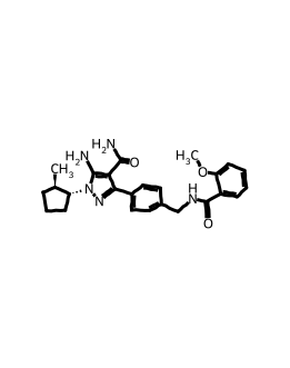 COc1ccccc1C(=O)NCc1ccc(-c2nn([C@@H]3CCC[C@H]3C)c(N)c2C(N)=O)cc1